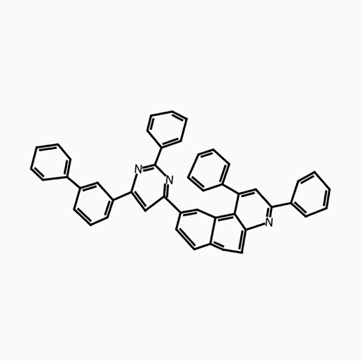 c1ccc(-c2cccc(-c3cc(-c4ccc5ccc6nc(-c7ccccc7)cc(-c7ccccc7)c6c5c4)nc(-c4ccccc4)n3)c2)cc1